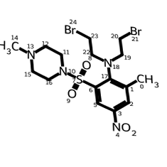 Cc1cc([N+](=O)[O-])cc(S(=O)(=O)N2CCN(C)CC2)c1N(CCBr)CCBr